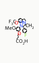 C=C(C(Nc1cc(OC)cc(OCCCC(=O)O)c1)c1ccc(F)cc1)N1CCc2ccc(OC(F)(F)F)cc21